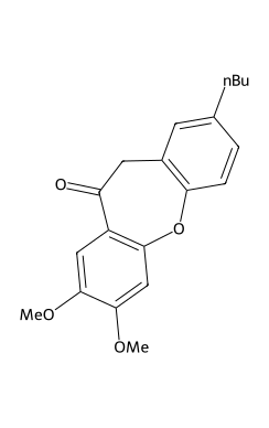 CCCCc1ccc2c(c1)CC(=O)c1cc(OC)c(OC)cc1O2